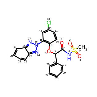 CS(=O)(=O)NC(=O)C(Oc1ccc(Cl)cc1-n1nc2ccccc2n1)c1ccccc1